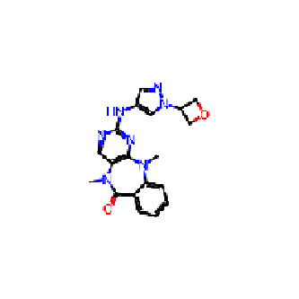 CN1C(=O)c2ccccc2N(C)c2nc(Nc3cnn(C4COC4)c3)ncc21